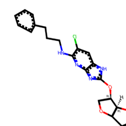 O[C@@H]1CO[C@H]2C1OC[C@H]2Oc1nc2nc(NCCCc3ccccc3)c(Cl)cc2[nH]1